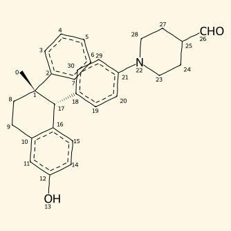 C[C@]1(c2ccccc2)CCc2cc(O)ccc2[C@H]1c1ccc(N2CCC(C=O)CC2)cc1